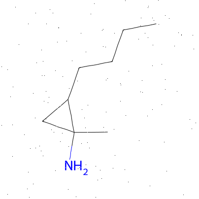 CCCCC1CC1(C)N